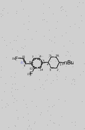 CCCCC1CCC(c2ccc(/C=C/F)c(F)c2)CC1